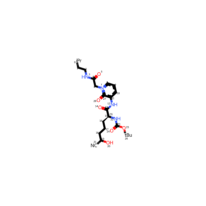 CC(C)CCNC(=O)Cn1cccc(NC(=O)[C@H](CCCC(O)C#N)NC(=O)OC(C)(C)C)c1=O